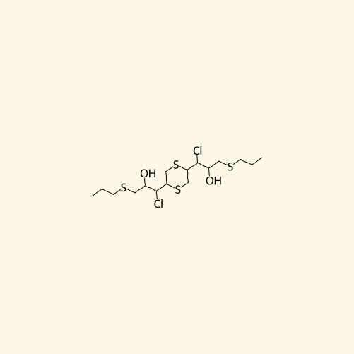 CCCSCC(O)C(Cl)C1CSC(C(Cl)C(O)CSCCC)CS1